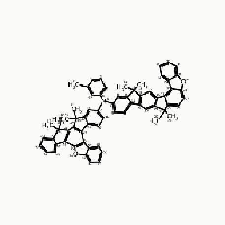 Cc1cccc(N(c2ccc3c(c2)C(C)(C)c2cc4c(cc2-3)C(C)(C)c2ccc3oc5ccccc5c3c2-4)c2ccc3c(c2)C(C)(C)c2c4c(c5oc6ccccc6c5c2-3)-c2ccccc2C4(C)C)c1